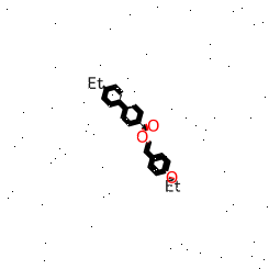 CCOc1ccc(CCOC(=O)[C@H]2CC[C@H]([C@H]3CC[C@H](CC)CC3)CC2)cc1